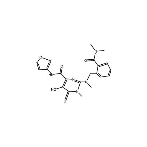 CN(C)C(=O)c1ccccc1CN(C)c1nc(C(=O)Nc2cnoc2)c(O)c(=O)n1C